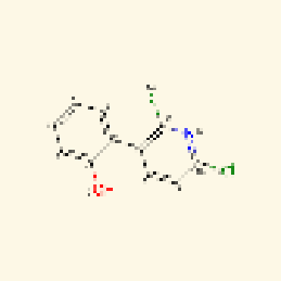 Oc1ccccc1-c1ccc(Cl)nc1Cl